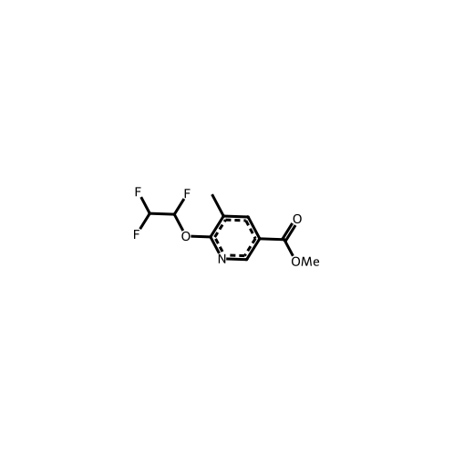 COC(=O)c1cnc(OC(F)C(F)F)c(C)c1